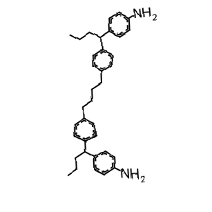 CCCC(c1ccc(N)cc1)c1ccc(CCCCc2ccc(C(CCC)c3ccc(N)cc3)cc2)cc1